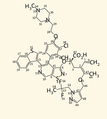 C=C/C(C[C@@H](Oc1nsc2cnc(-c3csc4ccccc34)c(-c3ccc(OCCN4CCN(C)CC4)c(Cl)c3C)c12)C(=O)O)=C(\C)OCc1ccnn1CC(C)(F)F